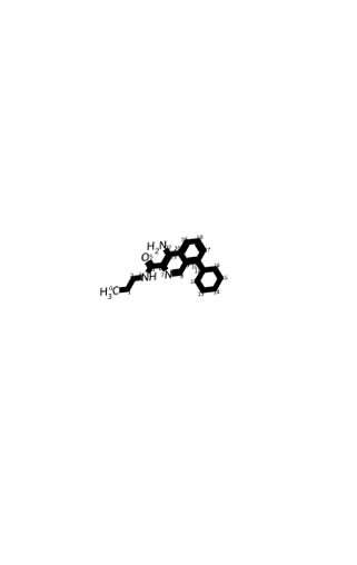 CCCNC(=O)c1ncc2c(C3CCCCC3)cccc2c1N